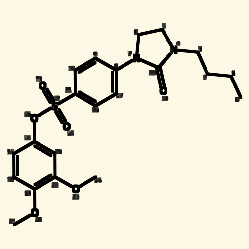 CCCCN1CCN(c2ccc(S(=O)(=O)Oc3ccc(OC)c(OC)c3)cc2)C1=O